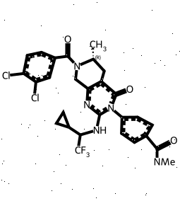 CNC(=O)c1ccc(-n2c(NC(C3CC3)C(F)(F)F)nc3c(c2=O)C[C@@H](C)N(C(=O)c2ccc(Cl)c(Cl)c2)C3)cc1